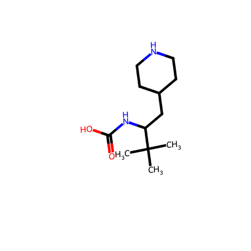 CC(C)(C)C(CC1CCNCC1)NC(=O)O